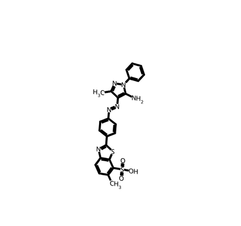 Cc1ccc2nc(-c3ccc(N=Nc4c(C)nn(-c5ccccc5)c4N)cc3)sc2c1S(=O)(=O)O